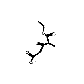 CCOC(=O)C(C)C(=O)CC(=O)O